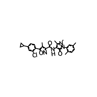 Cc1ccc(C)c(-n2c(=O)c(NC(=O)c3noc(-c4ccc(C5CC5)cc4Cl)c3C)c(C)n2C)c1